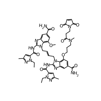 CCn1nc(C)cc1C(=O)Nc1nc2cc(C(N)=O)cc(OC)c2n1C/C=C/Cn1c(NC(=O)c2cc(C)nn2CC)nc2cc(C(N)=O)cc(OCCCN(C)C(=O)CCN3C(=O)C=CC3=O)c21